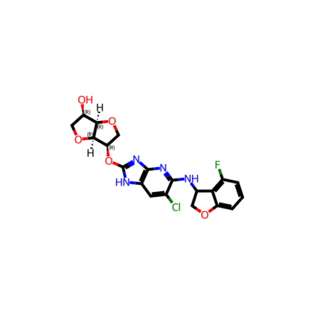 O[C@@H]1CO[C@H]2[C@@H]1OC[C@H]2Oc1nc2nc(NC3COc4cccc(F)c43)c(Cl)cc2[nH]1